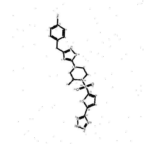 CC1CN(c2nc(Cc3ccc(F)cc3)ns2)CCN1S(=O)(=O)c1ccc(-c2nn[nH]n2)s1